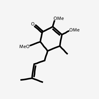 COC1=C(OC)C(C)C(CC=C(C)C)C(OC)C1=O